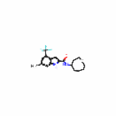 Cc1cc(C(F)(F)F)c2cc(C(=O)NC3CCCCCCC3)[nH]c2c1